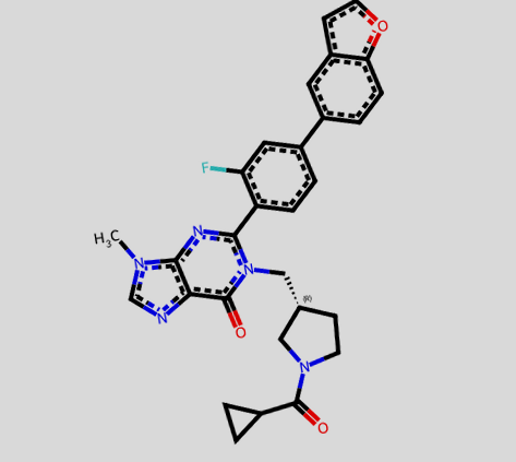 Cn1cnc2c(=O)n(C[C@@H]3CCN(C(=O)C4CC4)C3)c(-c3ccc(-c4ccc5occc5c4)cc3F)nc21